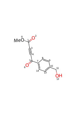 COC(=O)C#CC(=O)c1ccc(CO)cc1